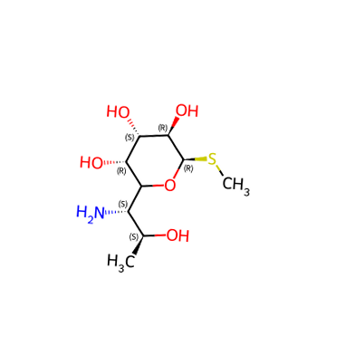 CS[C@H]1OC([C@@H](N)[C@H](C)O)[C@H](O)[C@H](O)[C@H]1O